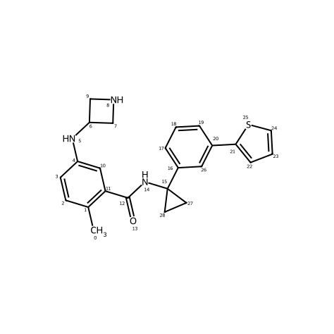 Cc1ccc(NC2CNC2)cc1C(=O)NC1(c2cccc(-c3cccs3)c2)CC1